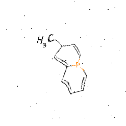 CC1[C]=C2C=CC=CP2C=C1